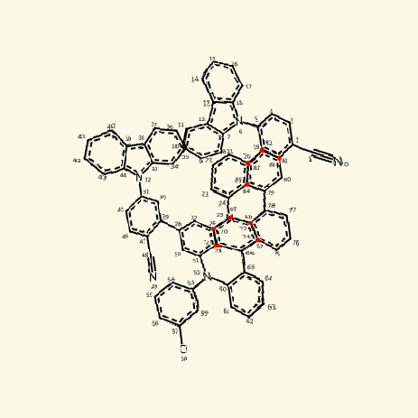 N#Cc1ccc(-n2c3ccccc3c3ccccc32)c(-c2cccc(N(c3cc(-c4cc(-n5c6ccccc6c6ccccc65)ccc4C#N)cc(N(c4cccc(Cl)c4)c4ccccc4-c4ccccc4)c3)c3ccccc3-c3ccccc3)c2)c1